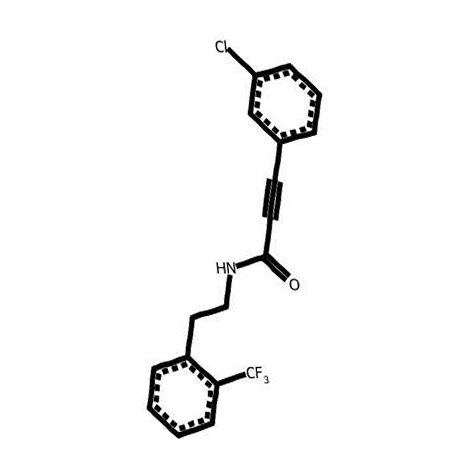 O=C(C#Cc1cccc(Cl)c1)NCCc1ccccc1C(F)(F)F